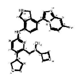 CN(Cc1nc(Nc2ccc(-c3cnc4cc(F)ccn34)c3c2CNC3)ccc1[C@H]1CCOC1)C1COC1